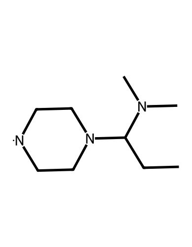 CCC(N(C)C)N1CC[N]CC1